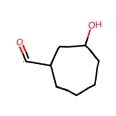 O=[C]C1CCCCC(O)C1